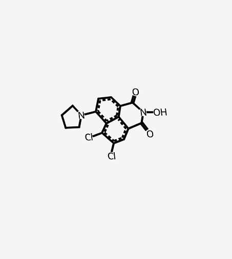 O=C1c2ccc(N3CCCC3)c3c(Cl)c(Cl)cc(c23)C(=O)N1O